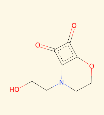 O=c1c2c(c1=O)N(CCO)CCO2